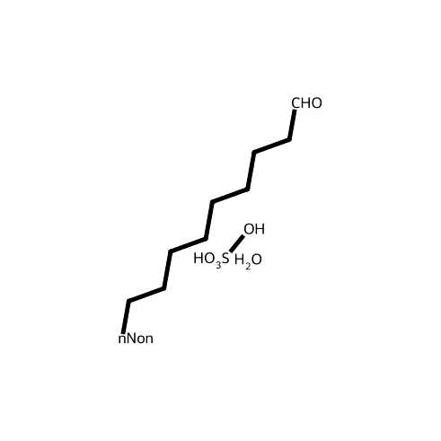 CCCCCCCCCCCCCCCCCC=O.O.O=S(=O)(O)O